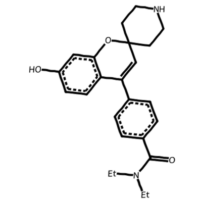 CCN(CC)C(=O)c1ccc(C2=CC3(CCNCC3)Oc3cc(O)ccc32)cc1